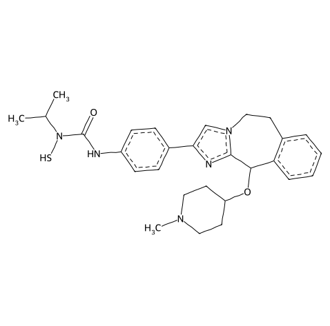 CC(C)N(S)C(=O)Nc1ccc(-c2cn3c(n2)C(OC2CCN(C)CC2)c2ccccc2CC3)cc1